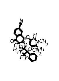 CO[C@](C(=O)O[C@@H]1[C@@H](OC2=CC=C(O)N(C)N2)c2cc(C#N)ccc2C(=O)C1(C)C)(c1ccccc1)C(F)(F)F